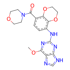 COc1nc(Nc2ccc(C(=O)N3CCOCC3)c3c2OCCO3)nc2[nH]cnc12